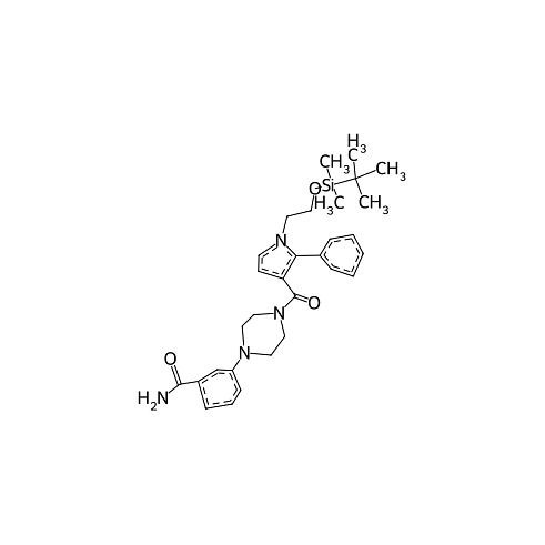 CC(C)(C)[Si](C)(C)OCCn1ccc(C(=O)N2CCN(c3cccc(C(N)=O)c3)CC2)c1-c1ccccc1